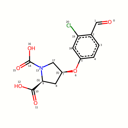 O=Cc1ccc(O[C@H]2C[C@@H](C(=O)O)N(C(=O)O)C2)cc1Cl